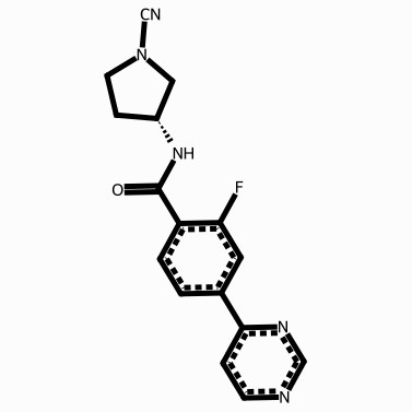 N#CN1CC[C@@H](NC(=O)c2ccc(-c3ccncn3)cc2F)C1